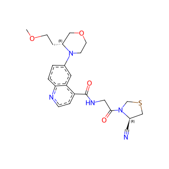 COCC[C@@H]1COCCN1c1ccc2nccc(C(=O)NCC(=O)N3CSC[C@H]3C#N)c2c1